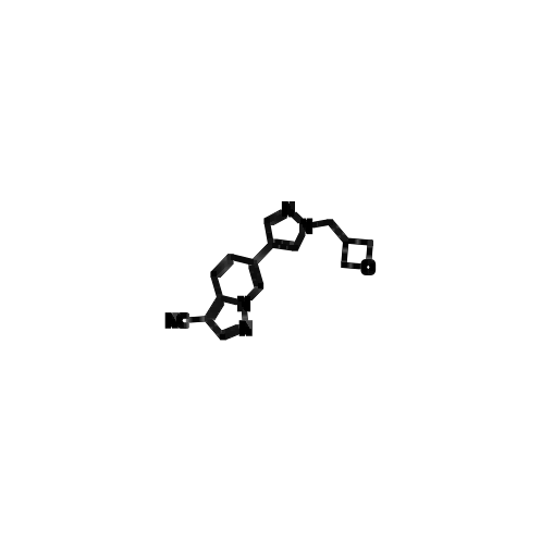 N#Cc1cnn2cc(-c3cnn(CC4COC4)c3)ccc12